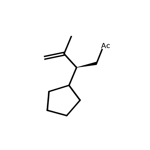 C=C(C)[C@@H](CC(C)=O)C1CCCC1